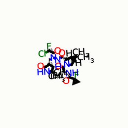 CC[C@H](C)[C@H](NC(=O)C1(F)CC1)C(=O)N1C[C@H]2[C@@H]([C@H]1C(=O)NN(C[C@@H]1CC(C)(C)NC1=O)C(=O)[C@@H](F)Cl)C2(C)C